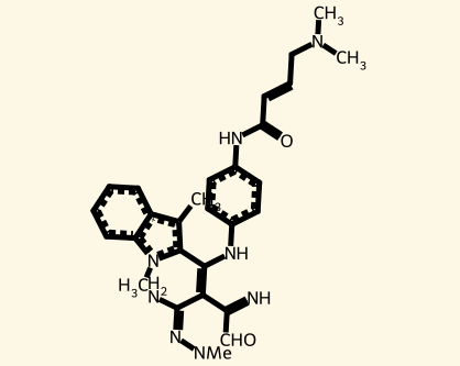 CN/N=C(N)\C(C(=N)C=O)=C(\Nc1ccc(NC(=O)/C=C/CN(C)C)cc1)c1c(C)c2ccccc2n1C